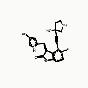 CC(=O)c1c[nH]c(C=C2C(=O)Nc3ccc(F)c(C#CC4(O)CCNC4)c32)c1